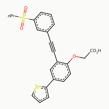 CCCS(=O)(=O)c1cccc(C#Cc2cc(-c3cccs3)ccc2OCC(=O)O)c1